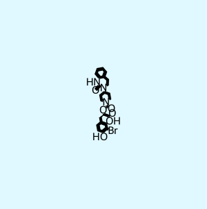 O=C(O)[C@@H](Cc1ccc(O)c(Br)c1)OC(=O)N1CCC(N2CCc3ccccc3NC2=O)CC1